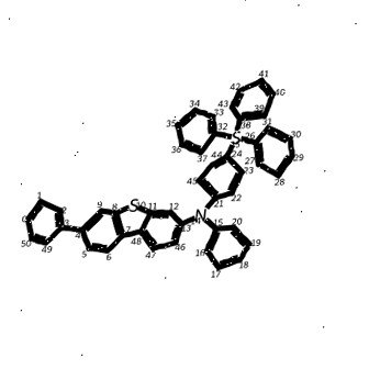 c1ccc(-c2ccc3c(c2)sc2cc(N(c4ccccc4)c4ccc(S(c5ccccc5)(c5ccccc5)c5ccccc5)cc4)ccc23)cc1